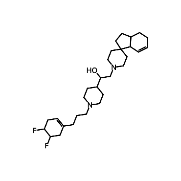 OC(CN1CCC2(CCC3CCC=CC32)CC1)C1CCN(CCCC2=CCC(F)C(F)C2)CC1